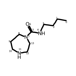 CCCCNC(=O)N1CCCNCC1